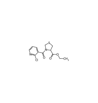 CCOC(=O)C1CSCN1C(=O)c1cccnc1Cl